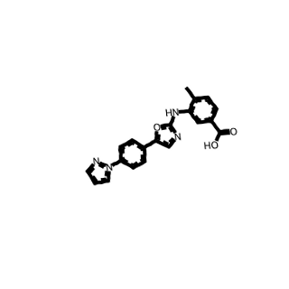 Cc1ccc(C(=O)O)cc1Nc1ncc(-c2ccc(-n3cccn3)cc2)o1